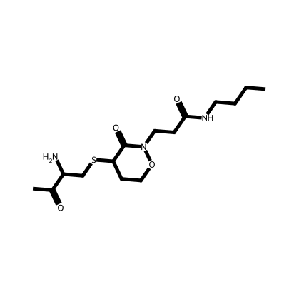 CCCCNC(=O)CCN1OCCC(SCC(N)C(C)=O)C1=O